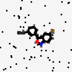 COc1cccc(-c2onc3ccc(Br)cc23)c1